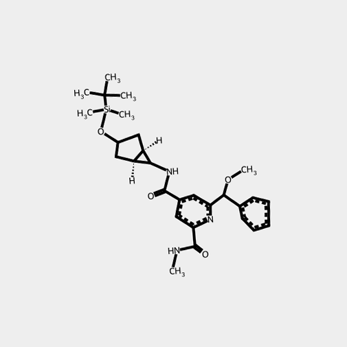 CNC(=O)c1cc(C(=O)NC2[C@H]3CC(O[Si](C)(C)C(C)(C)C)C[C@@H]23)cc(C(OC)c2ccccc2)n1